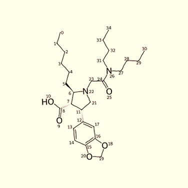 CCCCCC[C@@H]1[C@@H](C(=O)O)[C@@H](c2ccc3c(c2)OCO3)CN1CC(=O)N(CCCC)CCCC